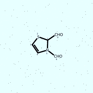 O=CC1SC=CN1C=O